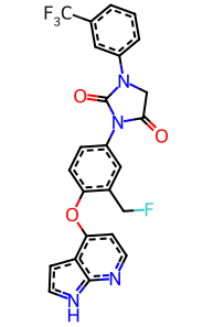 O=C1CN(c2cccc(C(F)(F)F)c2)C(=O)N1c1ccc(Oc2ccnc3[nH]ccc23)c(CF)c1